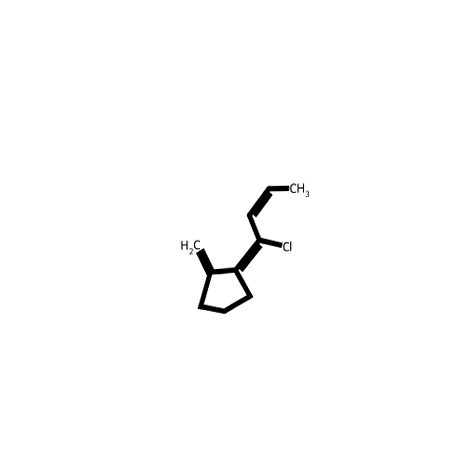 C=C1CCC/C1=C(Cl)/C=C\C